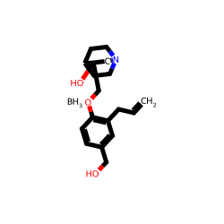 B.C=CCc1cc(CO)ccc1OCC1(O)CN2CCC1CC2